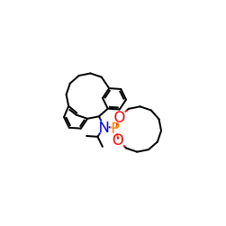 CC(C)N(C1c2cccc(c2)CCCCCc2cccc1c2)P1OCCCCCCCCCO1